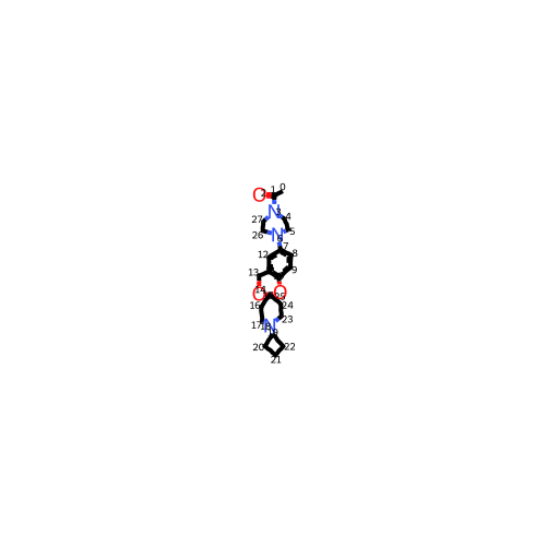 CC(=O)N1CCN(c2ccc3c(c2)COC2(CCN(C4CCC4)CC2)O3)CC1